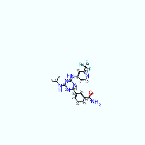 CC(C)Nc1nc(Nc2ccnc(C(F)(F)F)c2)nc(-c2cccc(C(N)=O)c2)n1